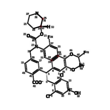 CC(C)Oc1cc([C@H](Cc2c(Cl)c[n+](O)cc2Cl)c2cc(CN(C(=O)O[C@H]3CN4CCC3CC4)c3ccccc3F)ccc2C(=O)[O-])ccc1OC(F)F